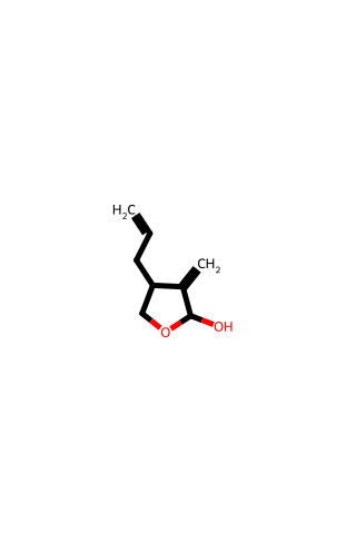 C=CCC1COC(O)C1=C